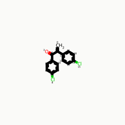 C=C(C(=O)c1ccc(Cl)cc1)c1ccc(Cl)cc1